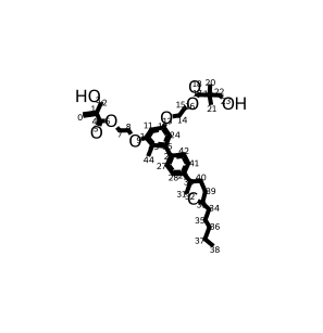 C=C(CO)C(=O)OCCOc1cc(OCCOC(=O)C(C)(C)CO)cc(-c2ccc(C3CCC(CCCCC)CC3)cc2)c1C